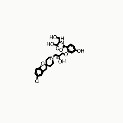 O=C(NC(CO)C(=O)O)c1ccc(O)cc1OC[C@@H](O)CN1CCC2(CC1)Cc1cc(Cl)ccc1O2